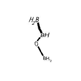 BBOB